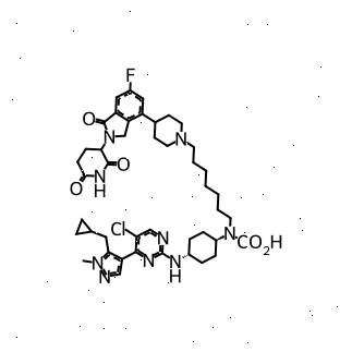 Cn1ncc(-c2nc(N[C@H]3CC[C@H](N(CCCCCCCN4CCC(c5cc(F)cc6c5CN(C5CCC(=O)NC5=O)C6=O)CC4)C(=O)O)CC3)ncc2Cl)c1CC1CC1